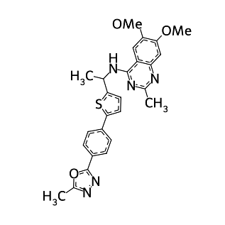 COc1cc2nc(C)nc(NC(C)c3ccc(-c4ccc(-c5nnc(C)o5)cc4)s3)c2cc1OC